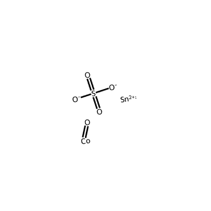 O=S(=O)([O-])[O-].[O]=[Co].[Sn+2]